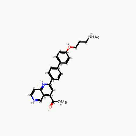 COC(=O)c1cc(-c2ccc(-c3ccc(OCCCNC(C)=O)cc3)cc2)nc2ccncc12